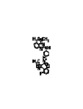 Cc1onc(-c2c(F)cccc2Cl)c1C(=O)NC[C@H]1CC[C@@H](Nc2nc(N(C)C)c3ccccc3n2)CC1